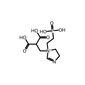 O=C(O)C(C[N+]1(CCP(=O)(O)O)C=NCC1)C(=O)O